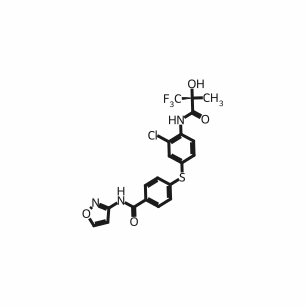 C[C@@](O)(C(=O)Nc1ccc(Sc2ccc(C(=O)Nc3ccon3)cc2)cc1Cl)C(F)(F)F